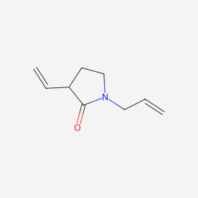 C=CCN1CCC(C=C)C1=O